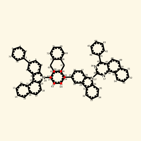 c1ccc(-c2ccc3c(c2)c2c4ccccc4ccc2n3-c2ccc(-c3ccc4c(c3)c3ccccc3n4-c3nc(-c4ccccc4)c4ccc5ccccc5c4n3)c3c2C2c4ccccc4C3c3ccccc32)cc1